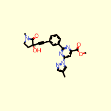 COC(=O)c1cc(-n2cc(C)cn2)nc(-c2cccc(C#C[C@]3(O)CCN(C)C3=O)c2)n1